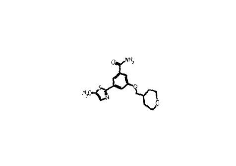 Cc1cnc(-c2cc(OCC3CCOCC3)cc(C(N)=O)c2)s1